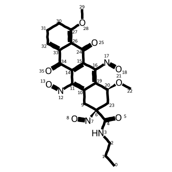 CCCNC(=O)[C@]1(N=O)Cc2c(N=O)c3c(c(N=O)c2[C@@H](OC)C1)C(=O)C1=C(OC)CCC=C1C3=O